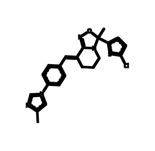 Cc1cn(-c2ccc(/C=C3\CCCN4C3=NOC4(C)c3ccc(Cl)s3)cc2)cn1